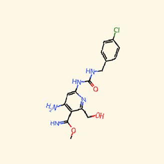 COC(=N)c1c(N)cc(NC(=O)NCc2ccc(Cl)cc2)nc1CO